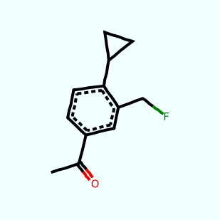 CC(=O)c1ccc(C2CC2)c(CF)c1